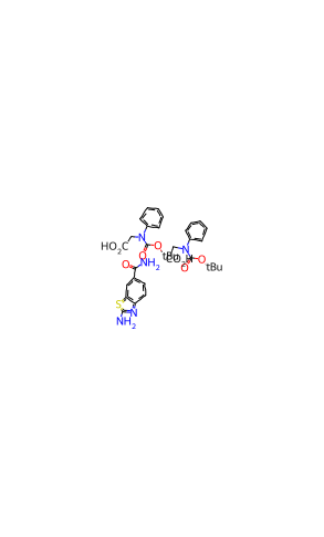 CC(C)(C)OC(=O)N(CC(=O)O)c1ccccc1.CC(C)(C)OC(=O)N(CC(=O)O)c1ccccc1.NC(=O)c1ccc2nc(N)sc2c1